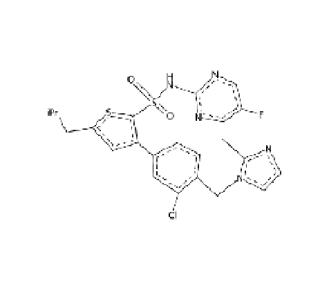 Cc1nccn1Cc1ccc(-c2cc(CC(C)C)sc2S(=O)(=O)Nc2ncc(F)cn2)cc1Cl